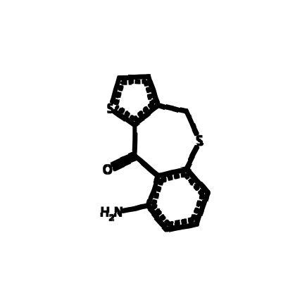 Nc1cccc2c1C(=O)c1sccc1CS2